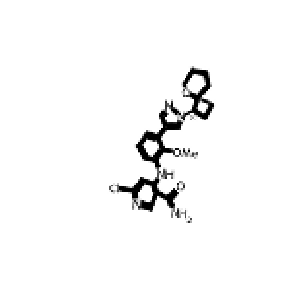 COc1c(Nc2cc(Cl)ncc2C(N)=O)cccc1-c1cnn([C@@H]2CC[C@@]23CCCCO3)c1